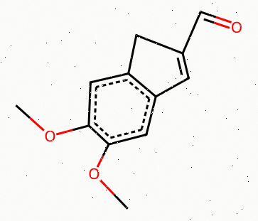 COc1cc2c(cc1OC)CC(C=O)=C2